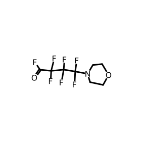 O=C(F)C(F)(F)C(F)(F)C(F)(F)N1CCOCC1